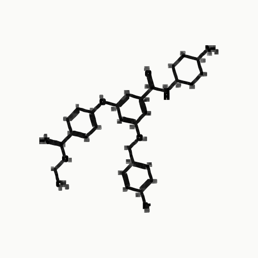 CCOC(=N)c1ccc(Oc2cc(OCc3ccc(Br)cc3)cc(C(=O)NC3CCC(N)CC3)c2)cc1